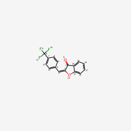 O=C1C(=Cc2ccc(C(F)(F)F)cc2)Oc2ccccc21